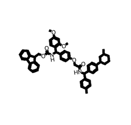 COc1ccc(C(NC(=O)OCC2c3ccccc3-c3ccccc32)c2ccc(OCC(=O)NC(c3ccc(C)cc3)c3ccc(C4CCCC(C)C4)cc3)cc2)c(OC)c1